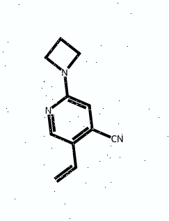 C=Cc1cnc(N2CCC2)cc1C#N